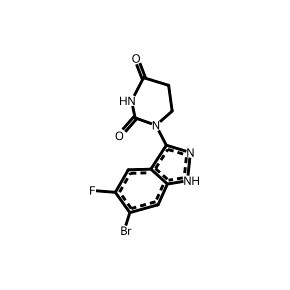 O=C1CCN(c2n[nH]c3cc(Br)c(F)cc23)C(=O)N1